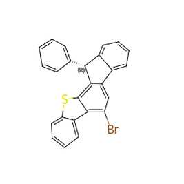 Brc1cc2c(c3sc4ccccc4c13)[C@H](c1ccccc1)c1ccccc1-2